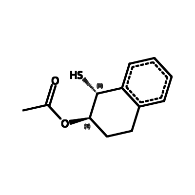 CC(=O)O[C@@H]1CCc2ccccc2[C@H]1S